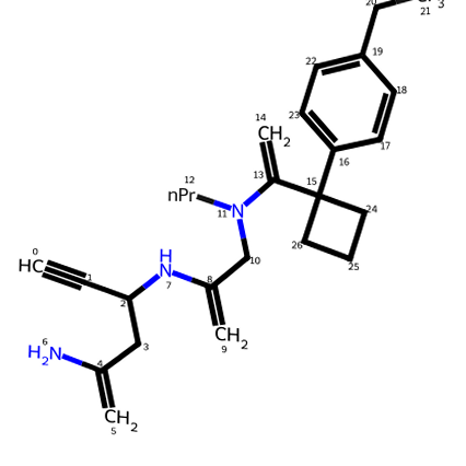 C#CC(CC(=C)N)NC(=C)CN(CCC)C(=C)C1(c2ccc(CC(F)(F)F)cc2)CCC1